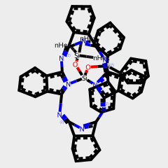 CCCCCC[Si](CCCCCC)(CCCCCC)O[Si]1(O[Si](c2ccccc2)(c2ccccc2)c2ccccc2)n2c3c4ccccc4c2/N=C2N=C(/N=c4/c5ccccc5/c(n41)=N/C1=NC(=N\3)/c3ccccc31)c1ccccc1\2